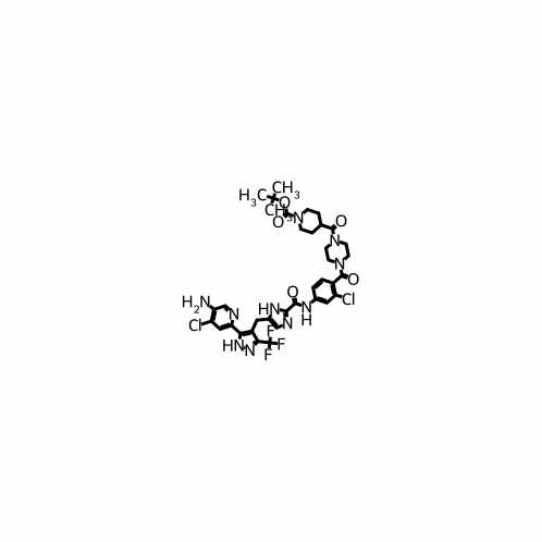 CC(C)(C)OC(=O)N1CCC(C(=O)N2CCN(C(=O)c3ccc(NC(=O)c4ncc(Cc5c(C(F)(F)F)n[nH]c5-c5cc(Cl)c(N)cn5)[nH]4)cc3Cl)CC2)CC1